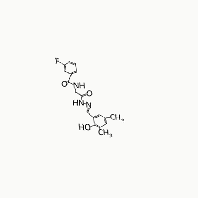 Cc1cc(C)c(O)c(/C=N/NC(=O)CNC(=O)c2cccc(F)c2)c1